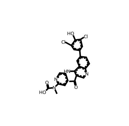 CC(=O)c1cnc2ccc(-c3cc(Cl)c(O)c(Cl)c3)cc2c1Nc1ccc(N(C)C(=O)O)nc1